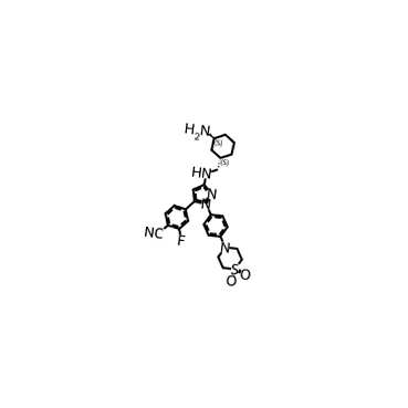 N#Cc1ccc(-c2cc(NC[C@H]3CCC[C@H](N)C3)nn2-c2ccc(N3CCS(=O)(=O)CC3)cc2)cc1F